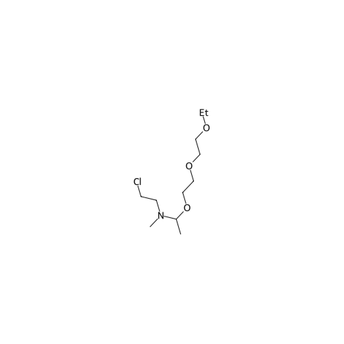 CCOCCOCCOC(C)N(C)CCCl